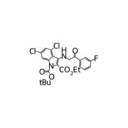 CCOC(=O)c1c(NCC(=O)c2cccc(F)c2)c2c(Cl)cc(Cl)cc2n1C(=O)OC(C)(C)C